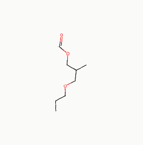 CCCOCC(C)CO[C]=O